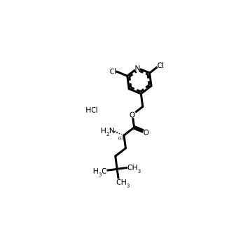 CC(C)(C)CC[C@H](N)C(=O)OCc1cc(Cl)nc(Cl)c1.Cl